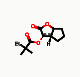 CCC(C)(C)C(=O)O[C@@H]1C(=O)OC2CCC[C@@H]21